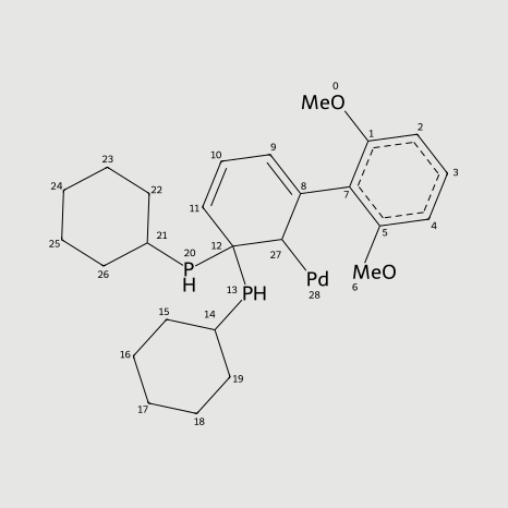 COc1cccc(OC)c1C1=CC=CC(PC2CCCCC2)(PC2CCCCC2)[CH]1[Pd]